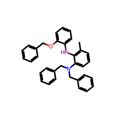 Cc1cccc(N(Cc2ccccc2)Cc2ccccc2)c1Pc1ccccc1OCc1ccccc1